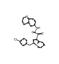 O=C(Nc1ccc2ncccc2c1)C(=O)c1cc(Cc2ccc(Cl)cc2)n2ccccc12